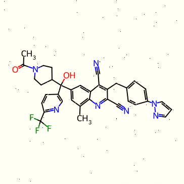 CC(=O)N1CCC(C(O)(c2ccc(C(F)(F)F)nc2)c2cc(C)c3nc(C#N)c(Cc4ccc(-n5cccn5)cc4)c(C#N)c3c2)CC1